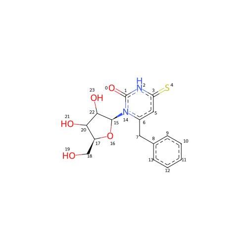 O=c1[nH]c(=S)cc(Cc2ccccc2)n1[C@H]1O[C@@H](CO)C(O)C1O